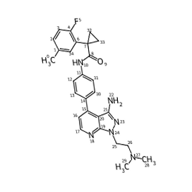 Cc1ccc(F)c(C2(C(=O)Nc3ccc(-c4ccnc5c4c(N)nn5CCN(C)C)cc3)CC2)c1